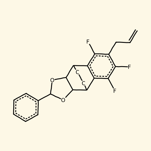 C=CCc1c(F)c(F)c2c(c1F)C1CCC2C2OC(c3ccccc3)OC12